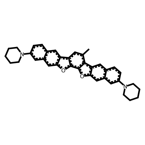 Cc1cc2c3cc4ccc(N5CCCCC5)cc4cc3oc2c2oc3cc4cc(N5CCCCC5)ccc4cc3c12